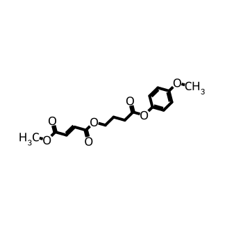 COC(=O)C=CC(=O)OCCCC(=O)Oc1ccc(OC)cc1